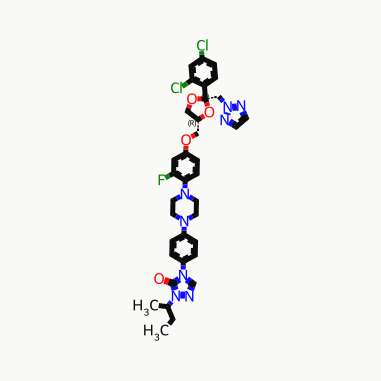 CCC(C)n1ncn(-c2ccc(N3CCN(c4ccc(OC[C@@H]5CO[C@@](Cn6nccn6)(c6ccc(Cl)cc6Cl)O5)cc4F)CC3)cc2)c1=O